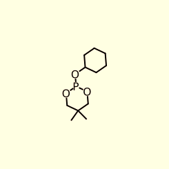 CC1(C)COP(OC2CCCCC2)OC1